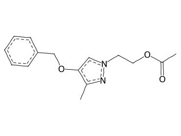 CC(=O)OCCn1cc(OCc2ccccc2)c(C)n1